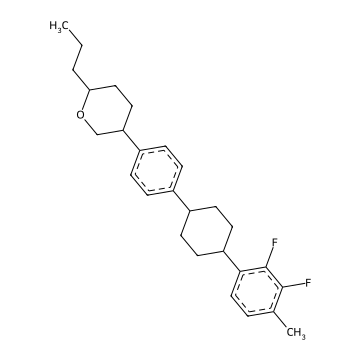 CCCC1CCC(c2ccc(C3CCC(c4ccc(C)c(F)c4F)CC3)cc2)CO1